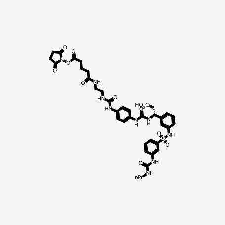 CCCNC(=O)Nc1cccc(S(=O)(=O)Nc2cccc([C@@H](CC(=O)O)NC(=O)Nc3ccc(NC(=O)NCCNC(=O)CCCC(=O)ON4C(=O)CCC4=O)cc3)c2)c1